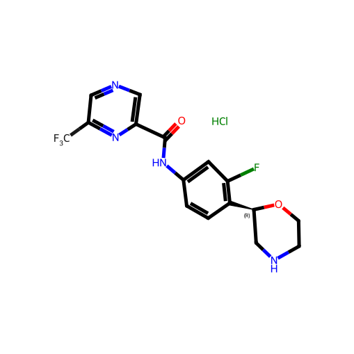 Cl.O=C(Nc1ccc([C@@H]2CNCCO2)c(F)c1)c1cncc(C(F)(F)F)n1